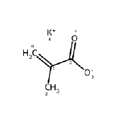 C=C(C)C(=O)[O-].[K+]